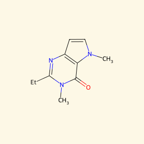 CCc1nc2ccn(C)c2c(=O)n1C